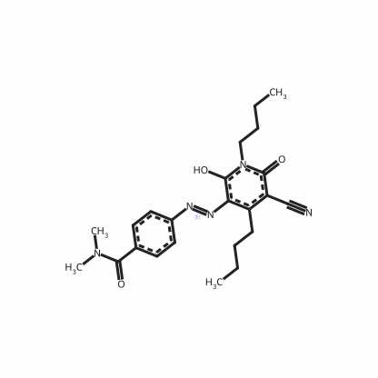 CCCCc1c(/N=N/c2ccc(C(=O)N(C)C)cc2)c(O)n(CCCC)c(=O)c1C#N